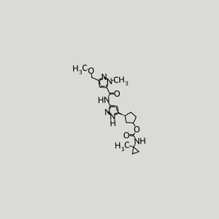 COCc1cc(C(=O)Nc2cc([C@H]3CC[C@@H](OC(=O)NC4(C)CC4)C3)[nH]n2)n(C)n1